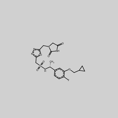 C[C@@H](NS(=O)(=O)Cc1nnc(CN2CC(=O)NC2=O)o1)c1ccc(F)c(OCC2CC2)c1